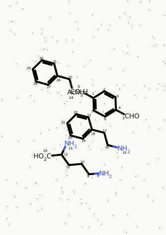 CC(=O)Nc1ccc(C=O)cc1.NCCCC(N)C(=O)O.NCCc1ccccc1.O=C(O)Cc1ccccc1